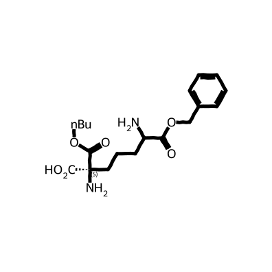 CCCCOC(=O)[C@](N)(CCCC(N)C(=O)OCc1ccccc1)C(=O)O